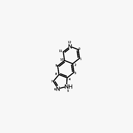 c1cc2cc3[nH]ncc3cc2cn1